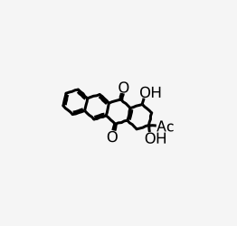 CC(=O)C1(O)CC2=C(C(=O)c3cc4ccccc4cc3C2=O)C(O)C1